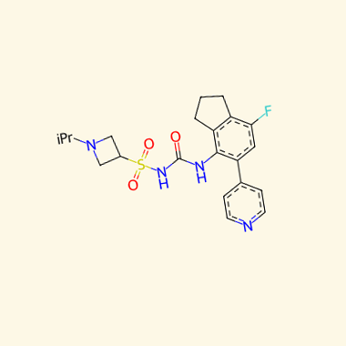 CC(C)N1CC(S(=O)(=O)NC(=O)Nc2c(-c3ccncc3)cc(F)c3c2CCC3)C1